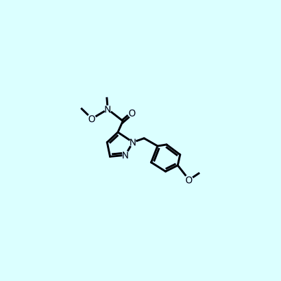 COc1ccc(Cn2nccc2C(=O)N(C)OC)cc1